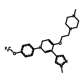 CN1CCN(CCOC2=CCN(c3ccc(OC(F)(F)F)cc3)C=C2c2cnn(C)c2)CC1